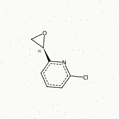 Clc1cccc([C@H]2CO2)n1